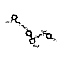 COc1ccccc1CCOCCOc1ccc(C2CCN(C(=O)O)CC2OCCOS(=O)(=O)c2ccc(C)cc2)cc1